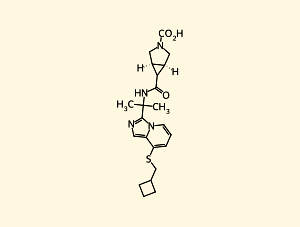 CC(C)(NC(=O)C1[C@H]2CN(C(=O)O)C[C@@H]12)c1ncc2c(SCC3CCC3)cccn12